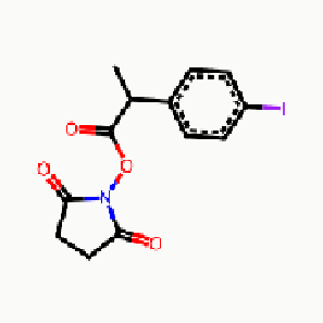 CC(C(=O)ON1C(=O)CCC1=O)c1ccc(I)cc1